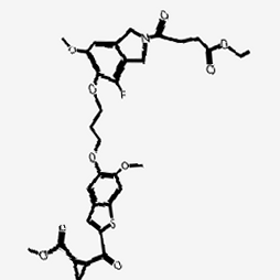 CCOC(=O)CCC(=O)N1Cc2cc(OC)c(OCCCOc3cc4cc(C(=O)C5CC5C(=O)OC)sc4cc3OC)c(F)c2C1